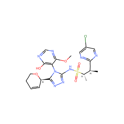 COc1ncnc(O)c1-n1c(NS(=O)(=O)[C@@H](C)[C@H](C)c2ncc(Cl)cn2)nnc1[C@H]1C=CCCO1